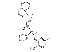 C=C(/C=C(\C=C(C)C)C(=O)O)[C@@H]1C[C@H](CN[C@H](C)c2cccc3ccccc23)Oc2ccccc21